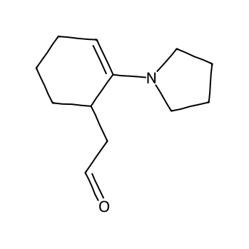 O=CCC1CCCC=C1N1CCCC1